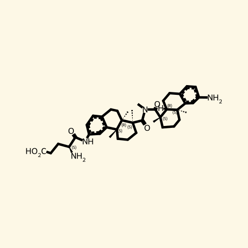 CN(C(=O)[C@@]1(C)CCC[C@]2(C)c3cc(N)ccc3CC[C@@H]12)C(=O)[C@@]1(C)CCC[C@]2(C)c3cc(NC(=O)[C@@H](N)CCC(=O)O)ccc3CC[C@@]12C